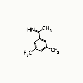 CC(=N)c1cc(C(F)(F)F)cc(C(F)(F)F)c1